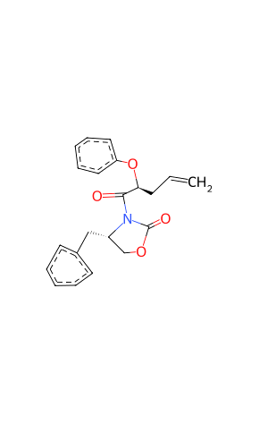 C=CC[C@H](Oc1ccccc1)C(=O)N1C(=O)OC[C@@H]1Cc1ccccc1